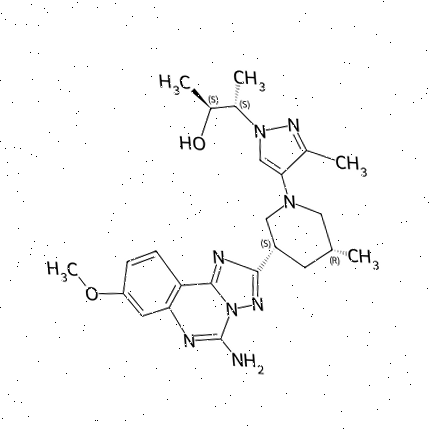 COc1ccc2c(c1)nc(N)n1nc([C@H]3C[C@@H](C)CN(c4cn([C@@H](C)[C@H](C)O)nc4C)C3)nc21